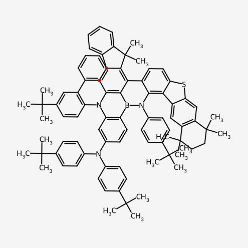 CC(C)(C)c1ccc(N2B3c4ccc(N(c5ccc(C(C)(C)C)cc5)c5ccc(C(C)(C)C)cc5)cc4N(c4ccc(C(C)(C)C)cc4-c4ccccc4)c4cc5c(c(c43)-c3ccc4sc6cc7c(cc6c4c32)C(C)(C)CCC7(C)C)C(C)(C)c2ccccc2-5)cc1